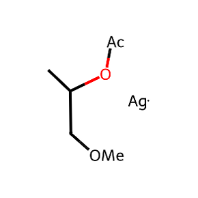 COCC(C)OC(C)=O.[Ag]